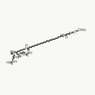 COCCOCCOCCC(=O)NCCCCCCCCCCCCCCCCCCCCCCCCC(=O)NCCCCCCC(CN(CCCCNB(C)O)B(C)O)CN(CCCCNB(C)O)B(C)O